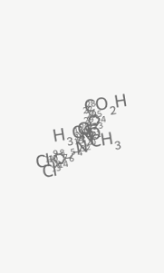 CC1CN(CCCc2ccc(Cl)c(Cl)c2)CC(C)N1S(=O)(=O)c1cccc(CC(=O)O)c1